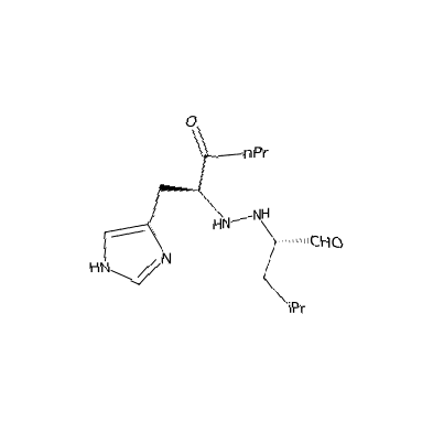 CCCC(=O)[C@H](Cc1c[nH]cn1)NN[C@H](C=O)CC(C)C